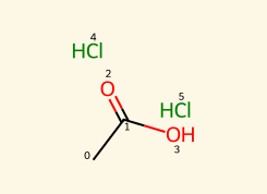 CC(=O)O.Cl.Cl